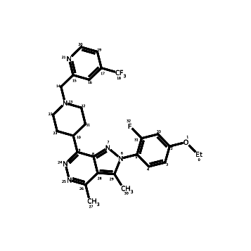 CCOc1ccc(-n2nc3c(C4CCN(Cc5cc(C(F)(F)F)ccn5)CC4)nnc(C)c3c2C)c(F)c1